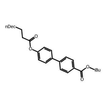 CCCCCCCCCCCCC(=O)Oc1ccc(-c2ccc(C(=O)OC(C)CC)cc2)cc1